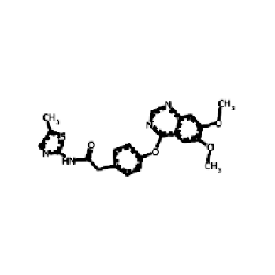 COc1cc2ncnc(Oc3ccc(CC(=O)Nc4ncc(C)s4)cc3)c2cc1OC